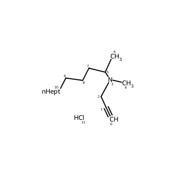 C#CCN(C)C(C)CCCCCCCCCC.Cl